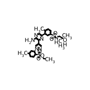 CCOS(=O)(=O)c1ccc(C)cc1-n1cc(-c2nc(-c3cc(S(=O)(=O)NCC(C)(C)O)ccc3C)cnc2N)cn1